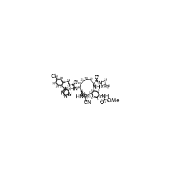 COC(=O)Nc1ccc2c(c1)N[C@@H](C(=O)N1CC(F)C1)CCCC[C@H](NC(=O)/C=C/c1cc(Cl)ccc1-n1cnnn1)c1nc-2c(C#N)[nH]1